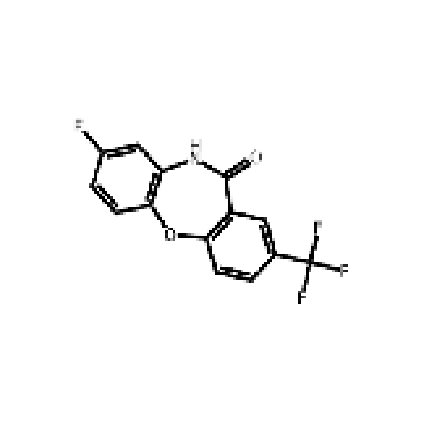 O=C1Nc2cc(F)ccc2Oc2ccc(C(F)(F)F)cc21